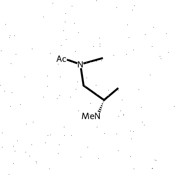 CN[C@@H](C)CN(C)C(C)=O